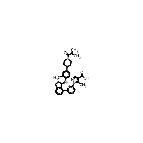 Cc1cc(C2CCN(C(=O)C(C)C)CC2)ccc1NC1CCc2cccc(-c3cccc(-n4ncc(C(=O)O)c4C)n3)c21